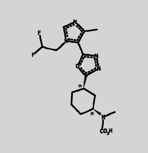 Cc1ncn(CC(F)F)c1-c1nnc([C@H]2CCC[C@@H](N(C)C(=O)O)C2)o1